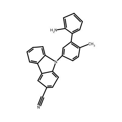 Cc1ccc(-n2c3ccccc3c3cc(C#N)ccc32)cc1-c1ccccc1N